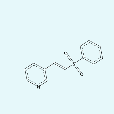 O=S(=O)(C=Cc1cccnc1)c1ccccc1